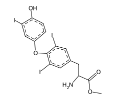 COC(=O)C(N)Cc1cc(I)c(Oc2ccc(O)c(I)c2)c(I)c1